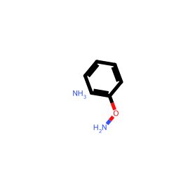 N.NOc1ccccc1